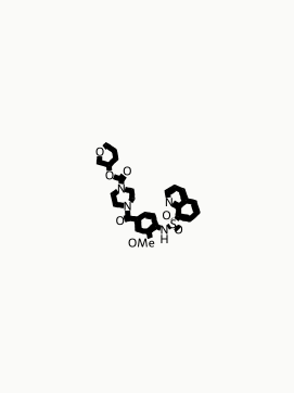 COc1cc(C(=O)N2CCN(C(=O)OC3CCCOC3)CC2)ccc1NS(=O)(=O)c1cccc2cccnc12